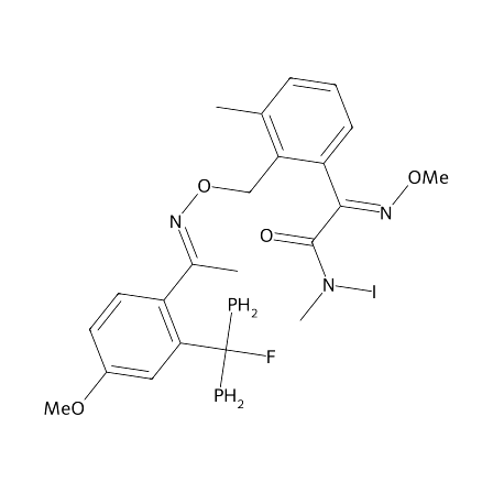 CO/N=C(/C(=O)N(C)I)c1cccc(C)c1CO/N=C(\C)c1ccc(OC)cc1C(F)(P)P